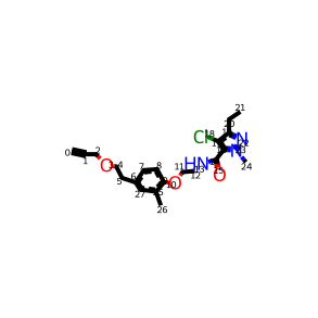 C#CCOCCc1ccc(OCCNC(=O)c2c(Cl)c(CC)nn2C)c(C)c1